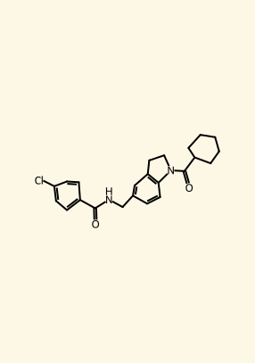 O=C(NCc1ccc2c(c1)CCN2C(=O)C1CCCCC1)c1ccc(Cl)cc1